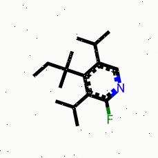 CCC(C)(C)c1c(C(C)C)cnc(F)c1C(C)C